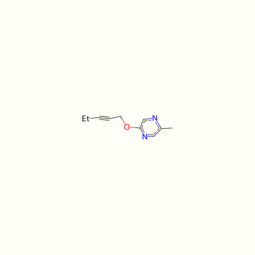 CCC#CCOc1cnc(C)cn1